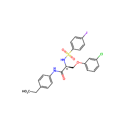 O=C(O)Cc1ccc(NC(=O)[C@H](COc2cccc(Cl)c2)NS(=O)(=O)c2ccc(I)cc2)cc1